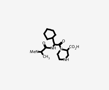 CNC(C)C(=O)NC(C(=O)N1CCNCC1C(=O)O)C1CCCCC1